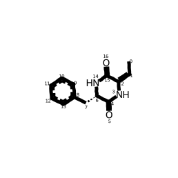 C/C=C1/NC(=O)[C@H](Cc2ccccc2)NC1=O